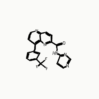 O=C(Nc1ccncn1)c1ccc2nccc(-c3cccc(C(F)(F)F)c3)c2n1